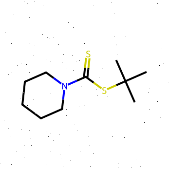 CC(C)(C)SC(=S)N1CCCCC1